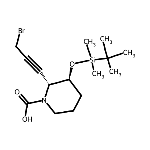 CC(C)(C)[Si](C)(C)O[C@H]1CCCN(C(=O)O)[C@@H]1C#CCBr